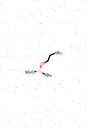 COB(OCCC(C)(C)C)C(C)(C)C